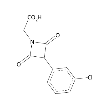 O=C(O)CN1C(=O)C(c2cccc(Cl)c2)C1=O